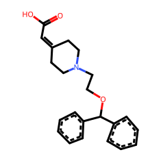 O=C(O)C=C1CCN(CCOC(c2ccccc2)c2ccccc2)CC1